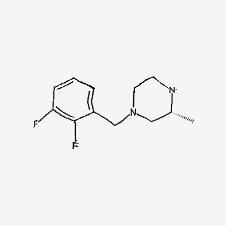 C[C@@H]1CN(Cc2cccc(F)c2F)CC[N]1